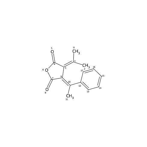 CC(C)=C1C(=O)OC(=O)/C1=C(\C)c1ccccc1